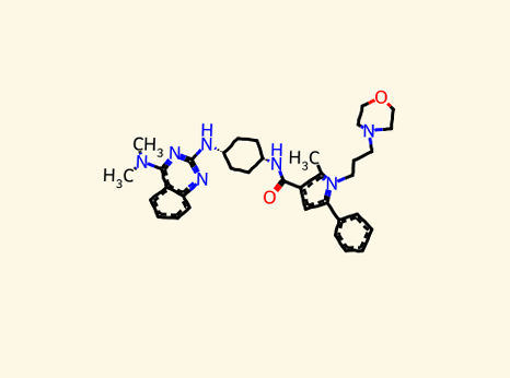 Cc1c(C(=O)N[C@H]2CC[C@@H](Nc3nc(N(C)C)c4ccccc4n3)CC2)cc(-c2ccccc2)n1CCCN1CCOCC1